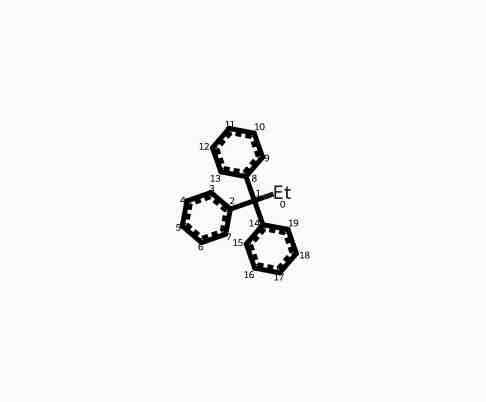 [CH2]CC(c1ccccc1)(c1ccccc1)c1ccccc1